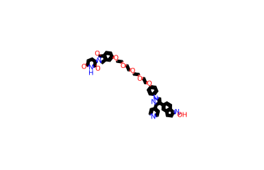 O=C1CCC(N2Cc3cc(OCCOCCOCCOCCOc4ccc(-n5cc(-c6ccc7c(c6)CC/C7=N\O)c(-c6ccncc6)n5)cc4)ccc3C2=O)C(=O)N1